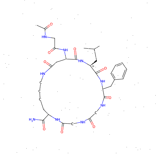 CC(=O)NCC(=O)NC1CC(=O)NCCCCC(C(N)=O)NC(=O)CNC(=O)CNC(=O)C(Cc2ccccc2)NC(=O)[C@H](CC(C)C)NC1=O